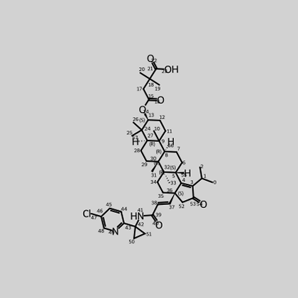 CC(C)C1=C2[C@H]3CC[C@@H]4C5(C)CC[C@H](OC(=O)CC(C)(C)C(=O)O)C(C)(C)[C@@H]5CC[C@@]4(C)[C@]3(C)CC[C@@]2(C=CC(=O)NC2(c3ccc(Cl)cn3)CC2)CC1=O